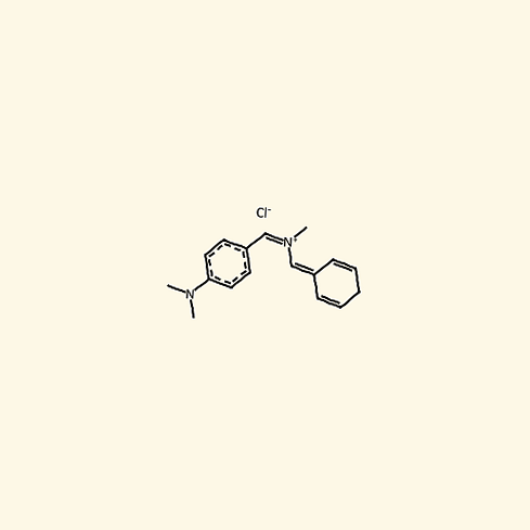 CN(C)c1ccc(C=[N+](C)C=C2C=CCC=C2)cc1.[Cl-]